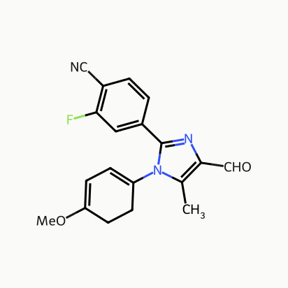 COC1=CC=C(n2c(-c3ccc(C#N)c(F)c3)nc(C=O)c2C)CC1